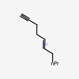 C#CCC/C=C/CCCC